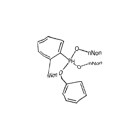 CCCCCCCCCO[PH](OCCCCCCCCC)(Oc1ccccc1)c1ccccc1CCCCCCCCC